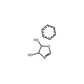 OC1N=COC1O.c1ccccc1